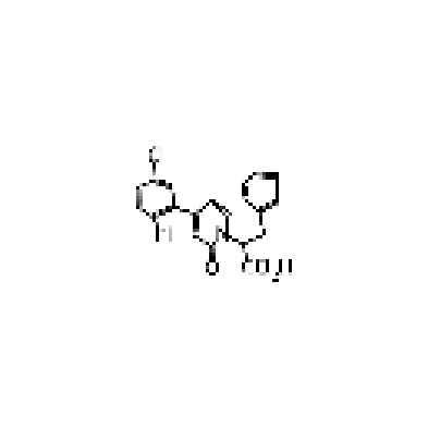 O=C(O)C(Cc1ccccc1)n1ccc(-c2cc(Cl)ccc2Cl)cc1=O